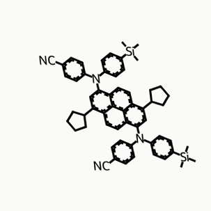 C[Si](C)(C)c1ccc(N(c2ccc(C#N)cc2)c2cc(C3CCCC3)c3ccc4c(N(c5ccc(C#N)cc5)c5ccc([Si](C)(C)C)cc5)cc(C5CCCC5)c5ccc2c3c54)cc1